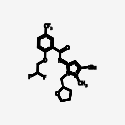 Cn1c(C(C)(C)C)c/c(=N\C(=O)c2cc(C(F)(F)F)ccc2OCC(F)F)n1C[C@H]1CCCO1